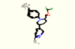 O=C(O)c1ccc(N2CC(c3ccc(C(F)(F)F)nc3)CCC2COC(F)F)cc1